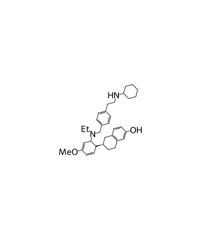 CCN(Cc1ccc(CCNC2CCCCC2)cc1)C1C=C(OC)C=CC1[C@@H]1CCc2cc(O)ccc2C1